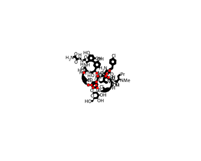 CN[C@H](CC(C)C)C(=O)N[C@H]1C(=O)N[C@@H](CC(N)=O)C(=O)N[C@H]2C(=O)N[C@H]3C(=O)N[C@H](C(=O)N[C@@H](C(=O)NNC(=O)C(N)=O)c4cc(O)cc(O)c4-c4cc3ccc4O)[C@H](O)c3ccc(c(Cl)c3)Oc3cc2cc(c3O[C@@H]2O[C@H](CO)[C@@H](O)[C@H](O)[C@H]2O[C@H]2C[C@](C)(NCc3cncc(NC(=O)/C=C/c4ccc(Cl)cc4)c3)[C@H](O)[C@H](C)O2)Oc2ccc(cc2Cl)[C@H]1O